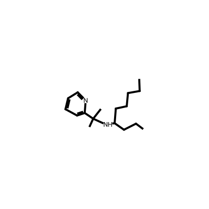 CCCCCC(CCC)NC(C)(C)c1ccccn1